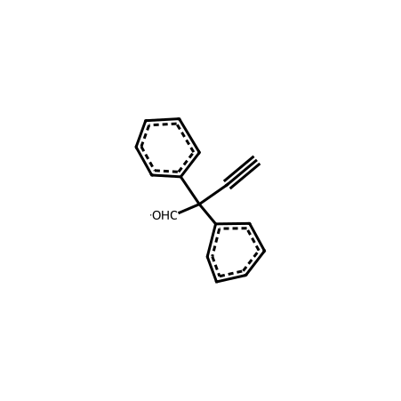 C#CC([C]=O)(c1ccccc1)c1ccccc1